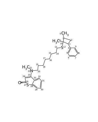 CC1CC(c2ccccc2)C1(C)SCCCCCCCCN(C)c1cc(=O)sc2ccccc12